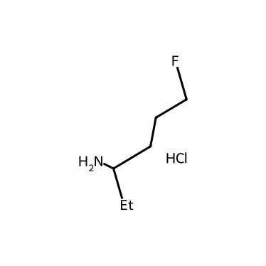 CCC(N)CCCF.Cl